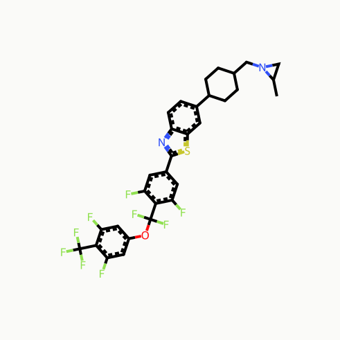 CC1CN1CC1CCC(c2ccc3nc(-c4cc(F)c(C(F)(F)Oc5cc(F)c(C(F)(F)F)c(F)c5)c(F)c4)sc3c2)CC1